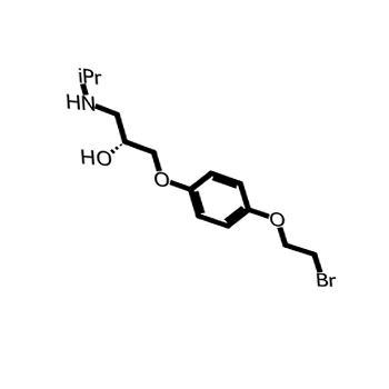 CC(C)NC[C@@H](O)COc1ccc(OCCBr)cc1